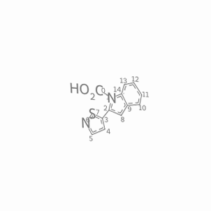 O=C(O)n1c(-c2ccns2)cc2ccccc21